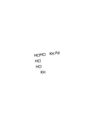 Cl.Cl.Cl.Cl.[KH].[KH].[Pd]